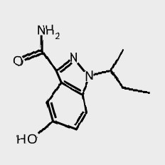 CCC(C)n1nc(C(N)=O)c2cc(O)ccc21